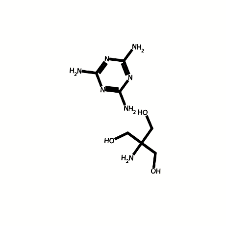 NC(CO)(CO)CO.Nc1nc(N)nc(N)n1